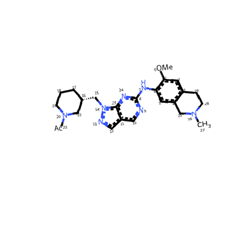 COc1cc2c(cc1Nc1ncc3cnn(C[C@H]4CCCN(C(C)=O)C4)c3n1)CN(C)CC2